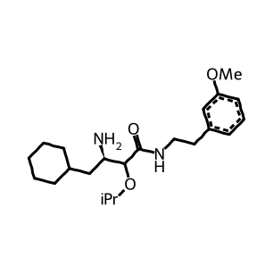 COc1cccc(CCNC(=O)C(OC(C)C)[C@H](N)CC2CCCCC2)c1